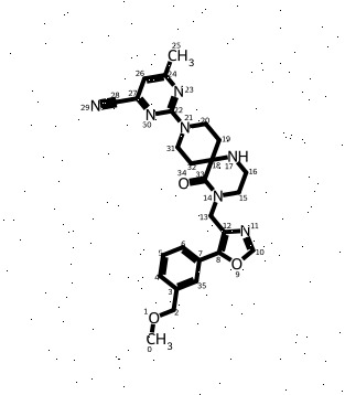 COCc1cccc(-c2ocnc2CN2CCNC3(CCN(c4nc(C)cc(C#N)n4)CC3)C2=O)c1